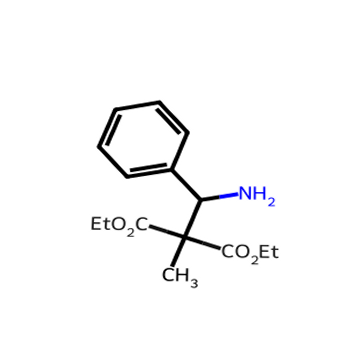 CCOC(=O)C(C)(C(=O)OCC)C(N)c1ccccc1